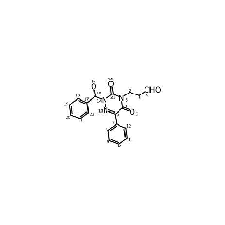 O=CCCn1c(=O)c(-c2ccccc2)nn(C(=O)c2ccccc2)c1=O